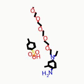 CCN(CCOCCOCCOCCOCCOC)c1ccc(N)c(C)c1.Cc1ccc(S(=O)(=O)O)cc1